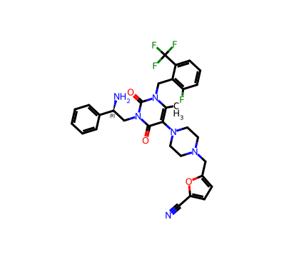 Cc1c(N2CCN(Cc3ccc(C#N)o3)CC2)c(=O)n(C[C@H](N)c2ccccc2)c(=O)n1Cc1c(F)cccc1C(F)(F)F